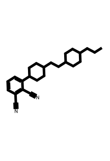 CCCC1CCC(CCC2CCC(c3cccc(C#N)c3C#N)CC2)CC1